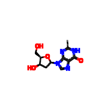 Cc1nc2c(ncn2[C@H]2C[C@@H](O)[C@@H](CO)O2)c(=O)[nH]1